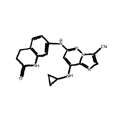 N#Cc1cnc2c(NC3CC3)cc(Nc3ccc4c(c3)NC(=O)CC4)nn12